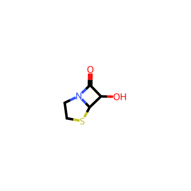 O=C1C(O)C2SCCN12